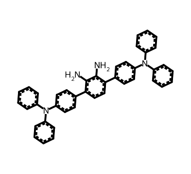 Nc1c(-c2ccc(N(c3ccccc3)c3ccccc3)cc2)ccc(-c2ccc(N(c3ccccc3)c3ccccc3)cc2)c1N